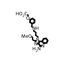 COCCc1nc2c(N)nc3ccccc3c2n1CCCCNCc1cccc(OCC(=O)O)c1